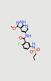 CCCS(=O)(=O)Nc1ccc(F)c(C(=O)Nc2cnc3[nH]nc(OC)c3c2)c1